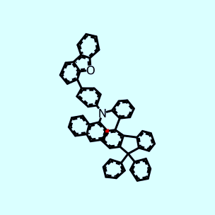 c1ccc(C2(c3ccccc3)c3ccccc3-c3c(-c4ccccc4N(c4ccc(-c5cccc6c5oc5ccccc56)cc4)c4cccc5ccccc45)cccc32)cc1